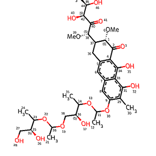 CO[C@@H]1C(=O)c2c(cc3cc(OC(C)OC(C)[C@@H](O)COC(C)OC(C)[C@@H](O)CO)c(C)c(O)c3c2O)CC1[C@H](OC)C(=O)[C@@H](O)[C@@H](C)O